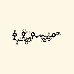 O=C(CCC[C@H](NC(=O)c1ccc(C(F)(F)F)cc1)C(=O)N1CCOCC1)NC1C[C@H]1c1ccc(F)cc1CN1CCN(C(=O)[C@H](CCCCNC2C[C@H]2c2ccc(F)cc2)NC(=O)c2ccc(C(F)(F)F)cc2)CC1